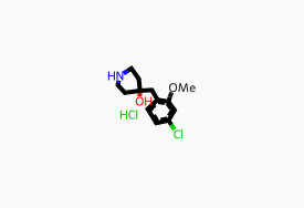 COc1cc(Cl)ccc1CC1(O)CCNCC1.Cl